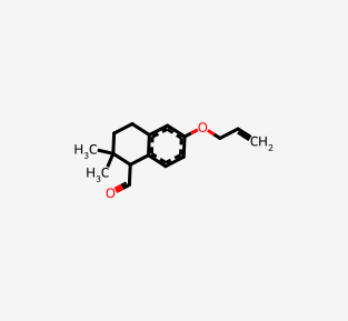 C=CCOc1ccc2c(c1)CCC(C)(C)C2C=O